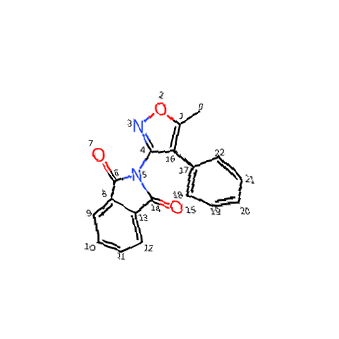 Cc1onc(N2C(=O)c3ccccc3C2=O)c1-c1ccccc1